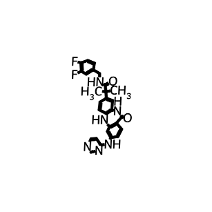 CC(C)(C(=O)NCc1ccc(F)c(F)c1)c1ccc2c(c1)NC(=O)c1ccc(Nc3ccncn3)cc1N2